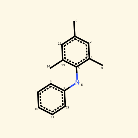 Cc1cc(C)c([N]c2ccccc2)c(C)c1